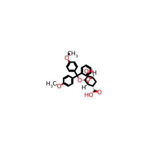 COc1ccc(C(O[C@@H]2[C@H](O)[C@H]3C[C@H](C(=O)O)[C@@H]2O3)(c2ccccc2)c2ccc(OC)cc2)cc1